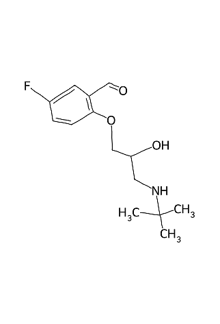 CC(C)(C)NCC(O)COc1ccc(F)cc1C=O